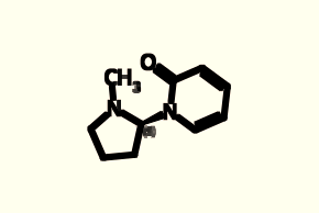 CN1CCC[C@@H]1n1ccccc1=O